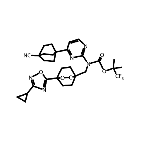 CC(C)(OC(=O)N(CC12CCC(c3nc(C4CC4)no3)(CC1)CC2)c1nccc(C23CCC(C#N)(CC2)CC3)n1)C(F)(F)F